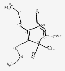 CCOC1=C(OCC)C(Cl)(Cl)C(Cl)=C1Cl